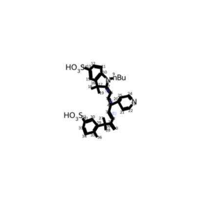 C=C(/C=C/C(=C/C=C1/N(CCCC)c2ccc(S(=O)(=O)O)cc2C1(C)C)c1ccncc1)C(C)(C)c1cc(S(=O)(=O)O)ccc1C